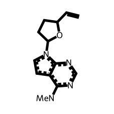 C=CC1CCC(n2ccc3c(NC)ncnc32)O1